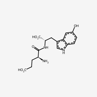 N[C@@H](CCC(=O)O)C(=O)N[C@@H](Cc1c[nH]c2ccc(O)cc12)C(=O)O